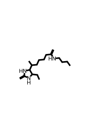 C=C(CCCCC(C)C1NC(=C)NC1CC)NCCCC